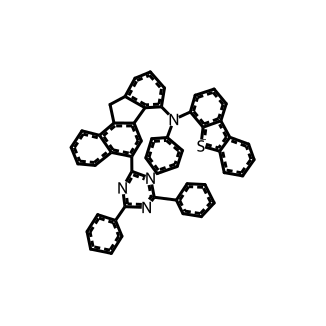 c1ccc(-c2nc(-c3ccccc3)nc(-c3cc4c(c5ccccc35)Cc3cccc(N(c5ccccc5)c5cccc6c5sc5ccccc56)c3-4)n2)cc1